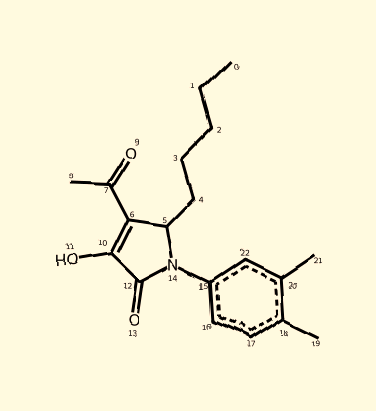 CCCCCC1C(C(C)=O)=C(O)C(=O)N1c1ccc(C)c(C)c1